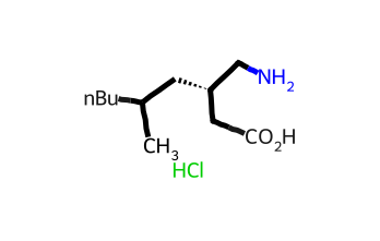 CCCCC(C)C[C@H](CN)CC(=O)O.Cl